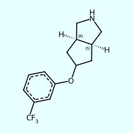 FC(F)(F)c1cccc(OC2C[C@H]3CNC[C@H]3C2)c1